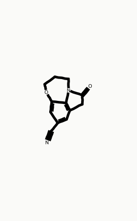 N#Cc1cc2c3c(c1)OCCCN3C(=O)C2